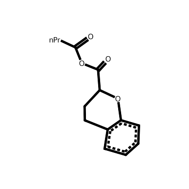 CCCC(=O)OC(=O)C1CCc2ccccc2O1